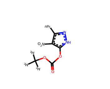 [2H]C([2H])([2H])OC(=O)Oc1[nH]nc(CCC)c1[N+](=O)[O-]